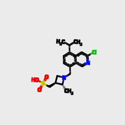 CC(C)c1ccc(CN2C[C@H](CS(=O)(=O)O)[C@H]2C)c2cnc(Cl)cc12